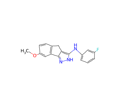 COc1ccc2c(c1)-c1n[nH]c(Nc3cccc(F)c3)c1C2